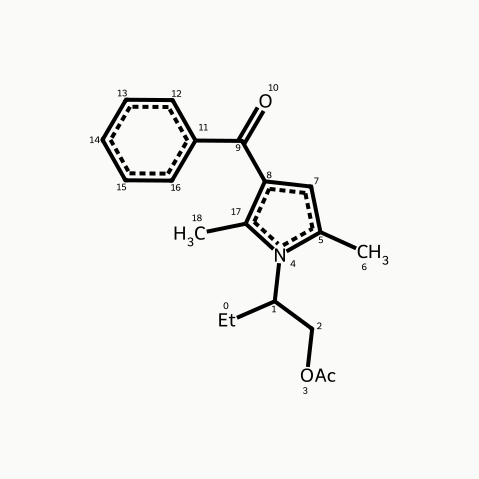 CCC(COC(C)=O)n1c(C)cc(C(=O)c2ccccc2)c1C